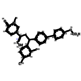 Cn1cc(/C(CC(c2ccc(-c3ccc(OC(=O)O)cc3)cc2)c2ccc(Cl)cc2F)=N/O)ccc1=O